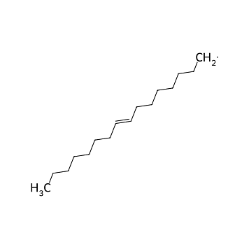 [CH2]CCCCCCC=CCCCCCCC